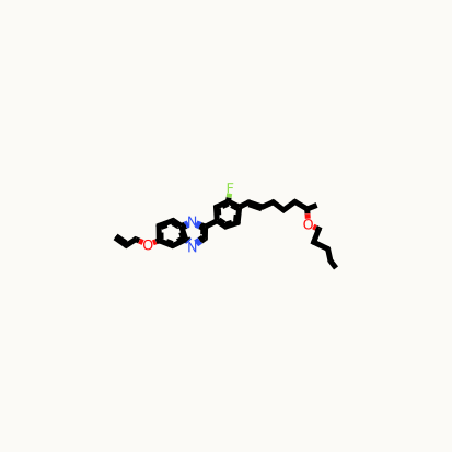 C=CCOc1ccc2nc(-c3ccc(/C=C/CCCC(C)OCCCCC)c(F)c3)cnc2c1